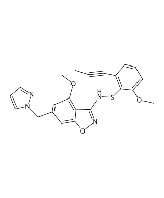 CC#Cc1cccc(OC)c1SNc1noc2cc(Cn3cccn3)cc(OC)c12